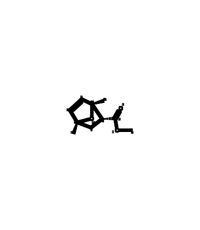 COC(=O)[C@@H]1C[C@]2(C)C=C[C@@]1(C)O2